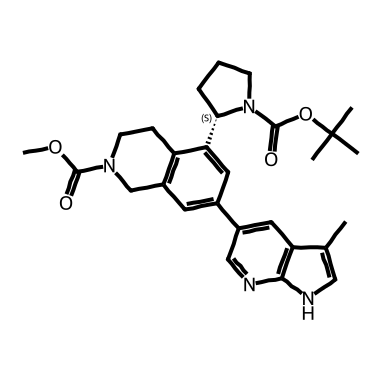 COC(=O)N1CCc2c(cc(-c3cnc4[nH]cc(C)c4c3)cc2[C@@H]2CCCN2C(=O)OC(C)(C)C)C1